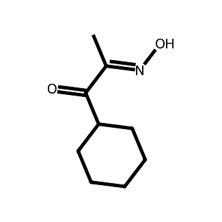 CC(=NO)C(=O)C1CCCCC1